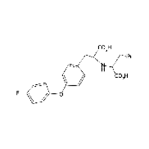 CC(C)CC(NC(Cc1ccc(Oc2ccc(F)cc2)cc1)C(=O)O)C(=O)O